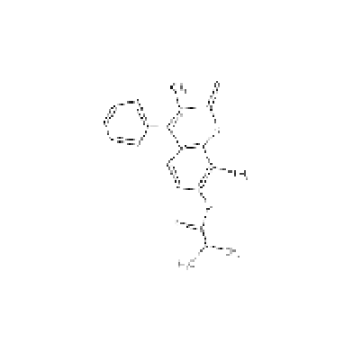 Cc1c(-c2ccccc2)c2ccc(OC(=S)N(C)C)c(C)c2oc1=O